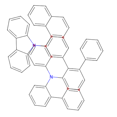 c1ccc(-c2ccccc2N(c2cccc(-c3cccc4ccccc34)c2)c2cccc(-c3ccccc3)c2-c2cccc(-n3c4ccccc4c4ccccc43)c2)cc1